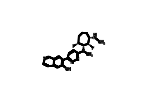 CN[C@H]1CCC[C@@H](F)[C@@H](N(C)c2ccc(-c3cc4cnccc4cc3O)nn2)[C@H]1F